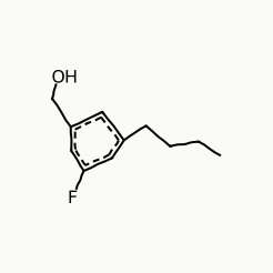 CCCCc1cc(F)cc(CO)c1